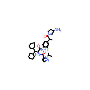 CC(C(=O)N1CCC(N)C1)c1ccc(NC(=O)C(NC(=O)c2ccnn2C(C)C)C(C2CCCCC2)C2CCCCC2)c(F)c1